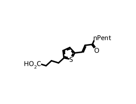 CCCCCC(=O)/C=C/c1ccc(CCCC(=O)O)s1